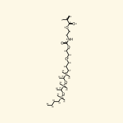 C=C(C)C(=O)OCCNC(=O)OCCOCCC[Si](C)(C)C(C)O[Si](C)(C)C(C)O[Si](C)(C)CCCC